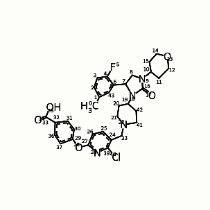 Cc1ccc(F)c(C2CN(C3CCOCC3)C(=O)N2C2CCN(Cc3ccc(Oc4ccc(C(=O)O)cc4)nc3Cl)CC2)c1